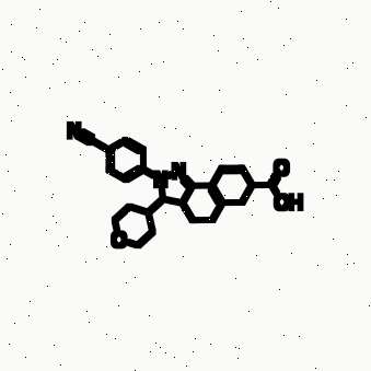 N#Cc1ccc(N2N=C3C4=C(CCC3C2C2CCOCC2)CC(C(=O)O)C=C4)cc1